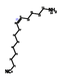 N#CCCCCCCC/C=C\CCCCN